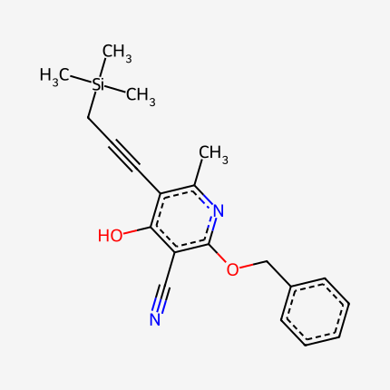 Cc1nc(OCc2ccccc2)c(C#N)c(O)c1C#CC[Si](C)(C)C